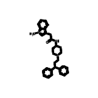 Cn1cc(CC(=O)NC2CCN(CCC(c3ccccc3)c3ccccc3)CC2)c2ccccc21